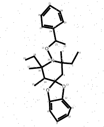 CCC1(C)CC2(Oc3ccccc3O2)C(C)C(C)(CC)N1OC(C)c1ccccc1